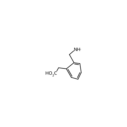 [NH]Cc1ccccc1CC(=O)O